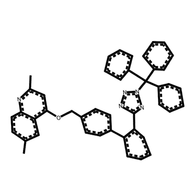 Cc1ccc2nc(C)cc(OCc3ccc(-c4ccccc4-c4nnn(C(c5ccccc5)(c5ccccc5)c5ccccc5)n4)cc3)c2c1